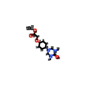 CN1CN([C@H]2CC[C@H](OCC(=O)OC(C)(C)C)CC2)CN(C)C1=O